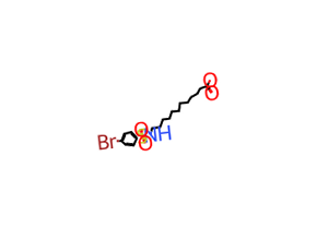 COC(=O)CCCCCCCCCCCNS(=O)(=O)c1ccc(Br)cc1